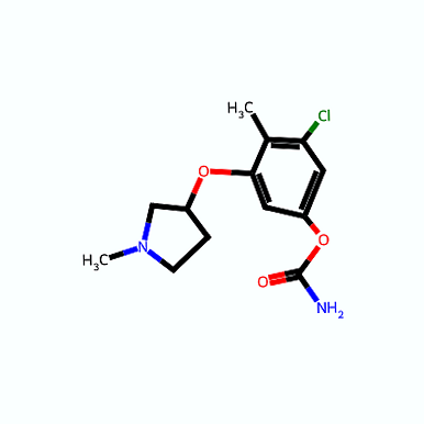 Cc1c(Cl)cc(OC(N)=O)cc1OC1CCN(C)C1